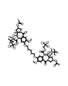 COc1cc2c(cc1OCCCCCOc1cc3c(cc1OC)C(=O)N1C[C@H](OC(C)=O)C[C@H]1[C@H](O[Si](C)(C)C(C)(C)C)N3C(=O)OCC(Cl)(Cl)Cl)N(C(=O)OCC(Cl)(Cl)Cl)[C@@H](O[Si](C)(C)C(C)(C)C)[C@@H]1C[C@@H](OC(C)=O)CN1C2=O